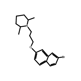 CC1CCCC(C)N1CCCOc1ccc2ccc(Br)cc2c1